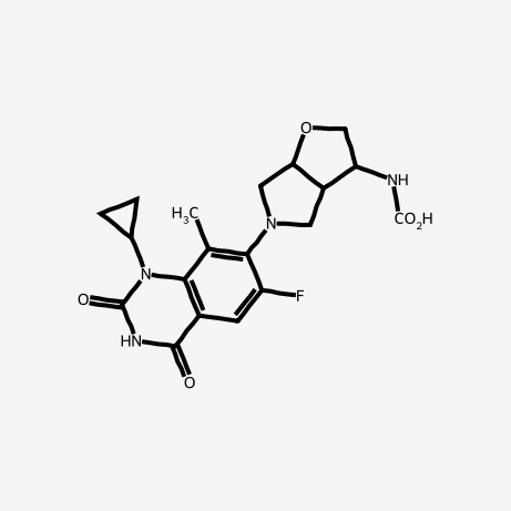 Cc1c(N2CC3OCC(NC(=O)O)C3C2)c(F)cc2c(=O)[nH]c(=O)n(C3CC3)c12